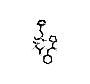 CCN(CCc1cccs1)C[C@@H]1CCCN1C(=O)[C@@H](NC(=O)[C@H](C)NC)C1CCCCC1